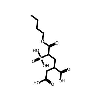 CCCCOC(=O)C(CC(CC(=O)O)C(=O)O)P(=O)(O)O